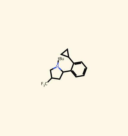 CC(C)(C)N1CC(C(F)(F)F)CC1c1ccccc1C1CC1